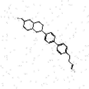 C=CCCc1ccc(-c2ccc(C3CCC4CC(CCCCCCC)CCC4C3)cc2)cc1